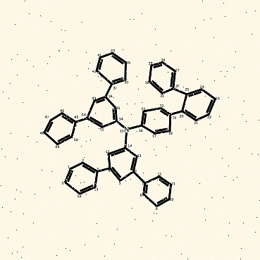 c1ccc(-c2cc(-c3ccccc3)cc(N(c3ccc(-c4ccccc4-c4ccccc4)cc3)c3cc(-c4ccccc4)cc(-c4ccccc4)c3)c2)cc1